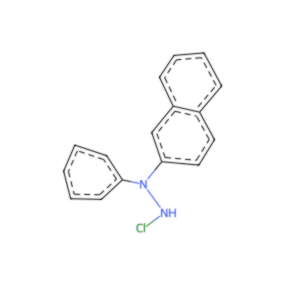 ClNN(c1ccccc1)c1ccc2ccccc2c1